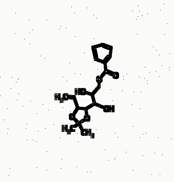 C=CC1OC(C)(C)OC1C(O)C(O)COC(=O)c1ccccc1